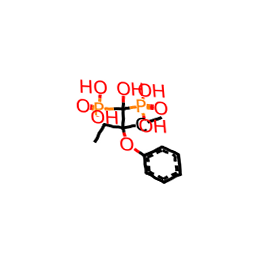 CCC(CC)(Oc1ccccc1)C(O)(P(=O)(O)O)P(=O)(O)O